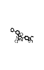 C=Cc1oc2cc(-c3nc(Cl)nc4c3oc3ccc(-c5ccccc5)cc34)ccc2c1C=C